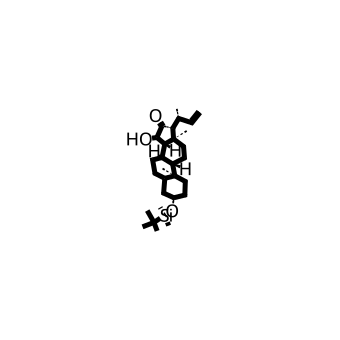 C=C[C@@H](C)[C@H]1C(=O)C(O)[C@H]2[C@@H]3CCC4C[C@@H](O[Si](C)(C)C(C)(C)C)CC[C@]4(C)[C@H]3CC[C@]12C